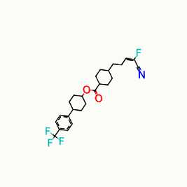 N#C/C(F)=C\CCC1CCC(C(=O)OC2CCC(c3ccc(C(F)(F)F)cc3)CC2)CC1